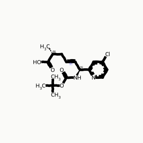 C[C@H](C/C=C/[C@H](NC(=O)OC(C)(C)C)c1cc(Cl)ccn1)C(=O)O